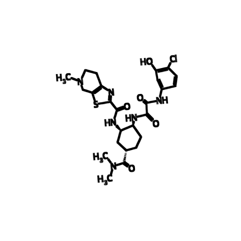 CN1CCc2nc(C(=O)N[C@@H]3C[C@@H](C(=O)N(C)C)CC[C@@H]3NC(=O)C(=O)Nc3ccc(Cl)c(O)c3)sc2C1